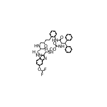 COC(=O)N[C@H](C(=O)Nc1ccccc1CC[C@@H]1CN[C@H](C)[C@@H](C(S)c2nc3cc(OC(F)F)ccc3[nH]2)O1)C(c1ccccc1)c1ccccc1